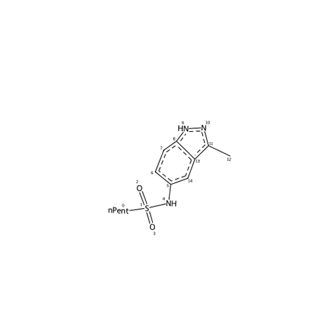 CCCCCS(=O)(=O)Nc1ccc2[nH]nc(C)c2c1